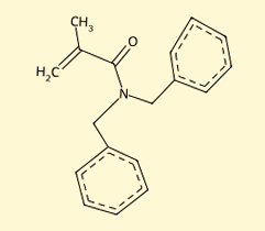 C=C(C)C(=O)N(Cc1ccccc1)Cc1ccccc1